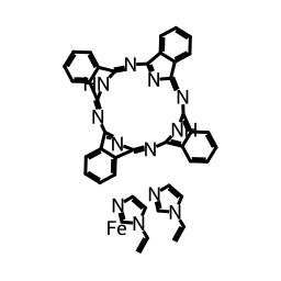 C=Cn1ccnc1.C=Cn1ccnc1.[Fe].c1ccc2c(c1)-c1nc-2nc2[nH]c(nc3nc(nc4[nH]c(n1)c1ccccc41)-c1ccccc1-3)c1ccccc21